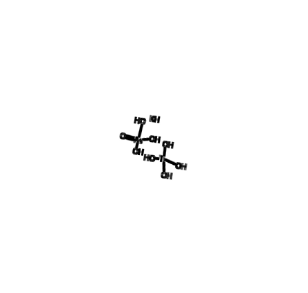 O=[As](O)(O)O.[KH].[OH][Ti]([OH])([OH])[OH]